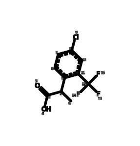 CC(C(=O)O)c1ccc(Cl)cc1C(F)(F)F